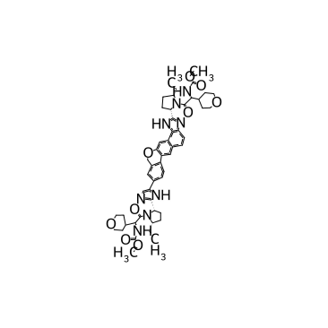 CC[C@H]1CC[C@@H](c2ncc(-c3ccc4c(c3)COc3cc5c(ccc6nc([C@@H]7CC[C@H](CC)N7C(=O)[C@@H](NC(=O)OC)C7CCOCC7)[nH]c65)cc3-4)[nH]2)N1C(=O)[C@@H](NC(=O)OC)C1CCOCC1